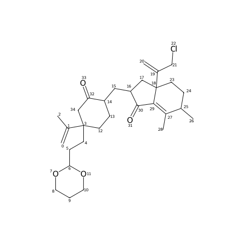 C=C(C)C1(CCC2OCCCO2)CCC(CC2CC3(C(=C)CCl)CCC(C)C(C)=C3C2=O)C(=O)C1